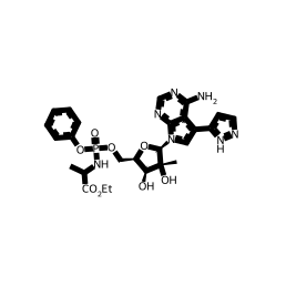 CCOC(=O)C(C)NP(=O)(OC[C@H]1O[C@@H](n2cc(-c3ccn[nH]3)c3c(N)ncnc32)[C@](C)(O)[C@H]1O)Oc1ccccc1